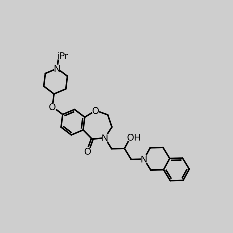 CC(C)N1CCC(Oc2ccc3c(c2)OCCN(CC(O)CN2CCc4ccccc4C2)C3=O)CC1